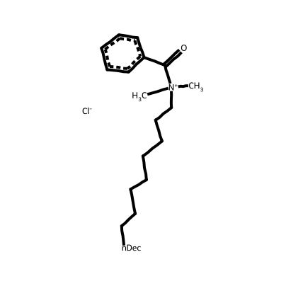 CCCCCCCCCCCCCCCCCC[N+](C)(C)C(=O)c1ccccc1.[Cl-]